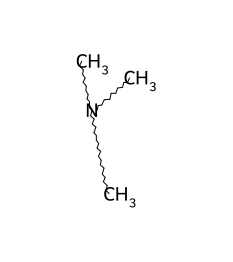 CCCCCCCCCCCCCCCCCCCCN(CCCCCCCCCCCC)CCCCCCCCCCCC